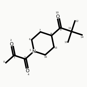 CC(=O)C(=O)N1CCC(C(=O)C(C)(C)C)CC1